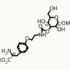 CCOC(=O)[C@H](N)Cc1ccc(OCCNC(=O)OC2C(O)[C@@H](OC)OC(CO)[C@H]2O)cc1